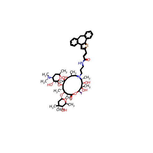 CO[C@]1(C)C[C@H](O[C@H]2[C@H](C)[C@@H](O[C@@H]3O[C@H](C)C[C@H](N(C)C)[C@H]3O)[C@](C)(O)C[C@@H](C)CN(CCCNC(=O)/C=C/c3cc4c(s3)-c3ccccc3Cc3ccccc3-4)[C@H](C)[C@@H](O)[C@](C)(O)[C@@H](I)OC(=O)[C@@H]2C)O[C@@H](C)[C@@H]1O